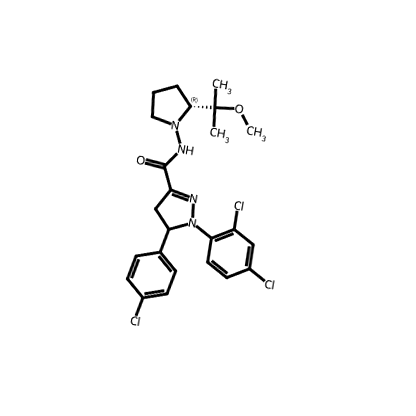 COC(C)(C)[C@H]1CCCN1NC(=O)C1=NN(c2ccc(Cl)cc2Cl)C(c2ccc(Cl)cc2)C1